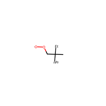 CCCC(C)(CC)CO[O]